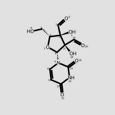 O=C[C@@]1(O)[C@@H](CO)O[C@@H](n2ccc(=O)[nH]c2=O)[C@@]1(O)C=O